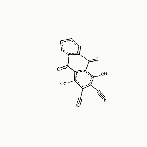 N#Cc1c(O)c2c(c(O)c1C#N)C(=O)c1ccccc1C2=O